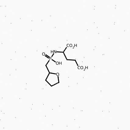 O=C(O)CCC(NP(=O)(O)CC1CCCO1)C(=O)O